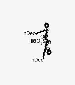 CCCCCCCCCCCCCCCCC(CCOC(=O)CC(C(=O)OCCC(CCCCCCCCCCCCCCCC)Oc1ccccc1)S(=O)(=O)O)Oc1ccccc1.[KH]